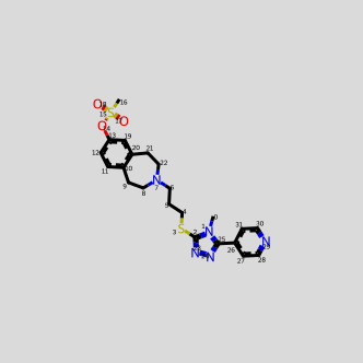 Cn1c(SCCCN2CCc3ccc(OS(C)(=O)=O)cc3CC2)nnc1-c1ccncc1